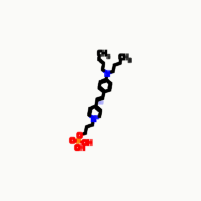 CCCCN(CCCC)c1ccc(/C=C/c2cc[n+](CCCOP(=O)(O)O)cc2)cc1